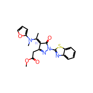 COC(=O)CC1=NN(c2nc3ccccc3s2)C(=O)/C1=C(\C)N(C)c1ccco1